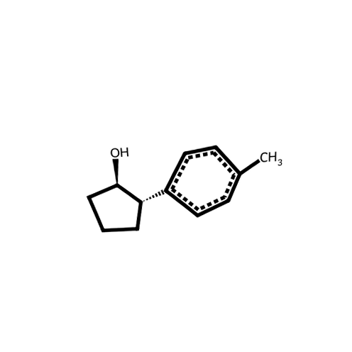 Cc1ccc([C@@H]2CCC[C@H]2O)cc1